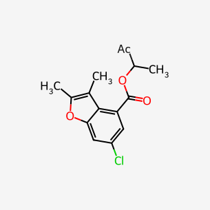 CC(=O)C(C)OC(=O)c1cc(Cl)cc2oc(C)c(C)c12